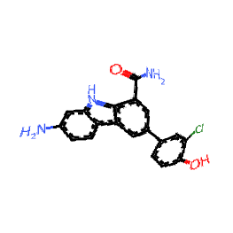 NC(=O)c1cc(-c2ccc(O)c(Cl)c2)cc2c1[nH]c1cc(N)ccc12